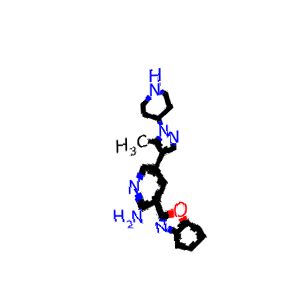 Cc1c(-c2cnc(N)c(-c3nc4ccccc4o3)c2)cnn1C1CCNCC1